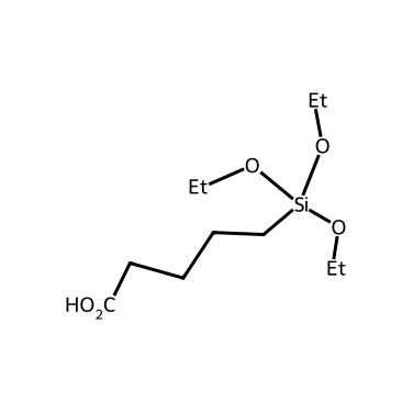 CCO[Si](CCCCC(=O)O)(OCC)OCC